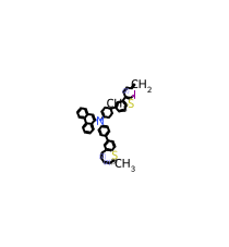 C=C/C=C\c1c(I)sc2ccc(C3(C)CC=C(N(c4ccc(-c5ccc6c(c5)/C=C\C=C/[C@H](C)S6)cc4)c4cc5ccccc5c5ccccc45)CC3)cc12